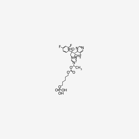 CC(OC(=O)OCCCCCOP(=O)(O)O)[n+]1cnn(C[C@](O)(c2ccc(F)cc2F)[C@@H](C)c2ncncc2F)c1